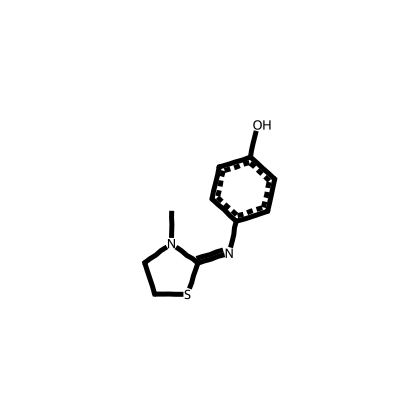 CN1CCSC1=Nc1ccc(O)cc1